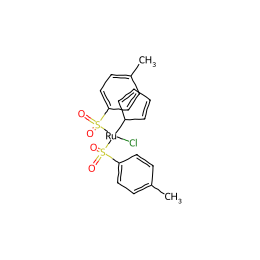 Cc1ccc([S](=O)(=O)[Ru]([Cl])([CH]2C=CC=C2)[S](=O)(=O)c2ccc(C)cc2)cc1